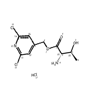 C[C@H](O)[C@H](N)C(=O)OCc1cc(Cl)nc(Cl)c1.Cl